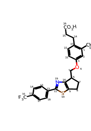 Cc1cc(OCC2CCc3sc(-c4ccc(C(F)(F)F)cc4)nc32)ccc1CCC(=O)O